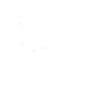 COc1ccc(CNc2cc3cc(C#N)cnc3cn2)cc1